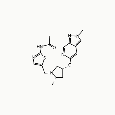 CC(=O)Nc1ncc(CN2C[C@H](Oc3cc4cn(C)nc4cn3)C[C@@H]2C)s1